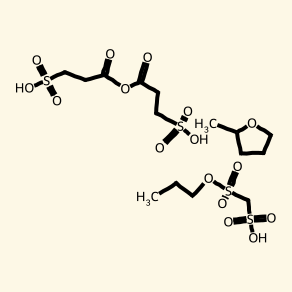 CC1CCCO1.CCCOS(=O)(=O)CS(=O)(=O)O.O=C(CCS(=O)(=O)O)OC(=O)CCS(=O)(=O)O